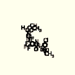 CCS(=O)(=O)c1ccc(Cl)cc1Cn1cnc2c(F)c(CN3CCN(C(=O)OC(C)(C)C)CC3)c(C(F)(F)F)cc2c1=O